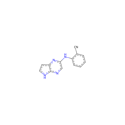 N#Cc1ccccc1Nc1cnc2[nH]ccc2n1